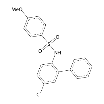 COc1ccc(S(=O)(=O)Nc2ccc(Cl)cc2-c2ccccc2)cc1